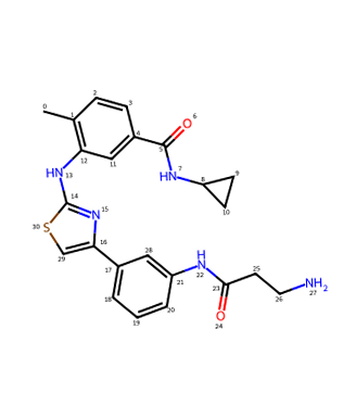 Cc1ccc(C(=O)NC2CC2)cc1Nc1nc(-c2cccc(NC(=O)CCN)c2)cs1